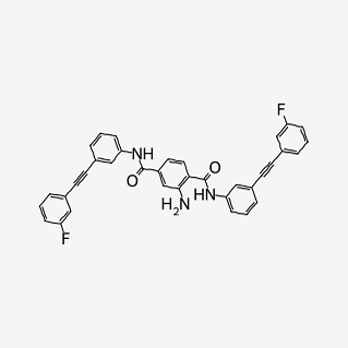 Nc1cc(C(=O)Nc2cccc(C#Cc3cccc(F)c3)c2)ccc1C(=O)Nc1cccc(C#Cc2cccc(F)c2)c1